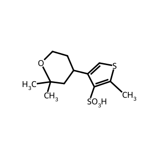 Cc1scc(C2CCOC(C)(C)C2)c1S(=O)(=O)O